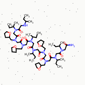 CCC(C)NCC(=O)N(CC(=O)N(CC(=O)N(CC(=O)N(CC(=O)N(CC(=O)N(CC(=O)N(CC(=O)N(CC(=O)N(CC(N)=O)C(C)CC)C(C)CC)CC1CCCO1)CC1CCCO1)C(C)CC)C(C)CC)CC1CCCO1)CC1CCCO1)C(C)CC